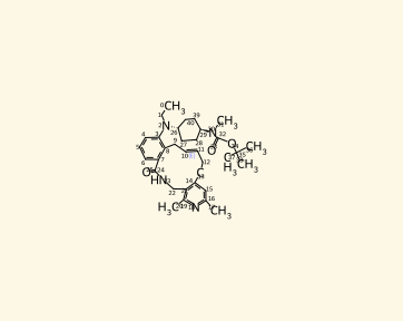 CCN(c1cccc2c1C/C=C/CCc1cc(C)nc(C)c1CNC2=O)[C@H]1CC[C@H](N(C)C(=O)OC(C)(C)C)CC1